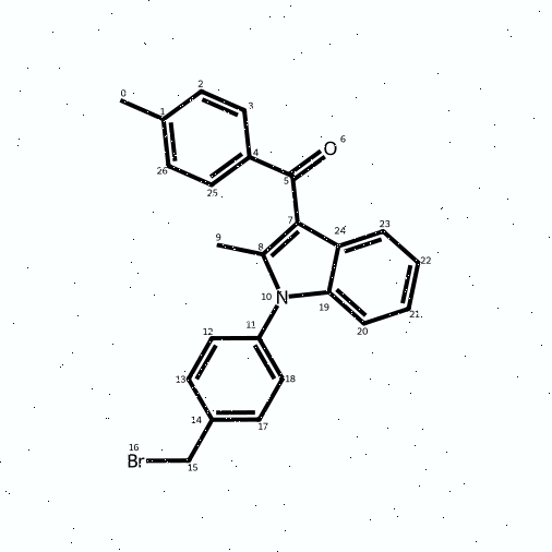 Cc1ccc(C(=O)c2c(C)n(-c3ccc(CBr)cc3)c3ccccc23)cc1